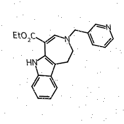 CCOC(=O)C1=CN(Cc2cccnc2)CCc2c1[nH]c1ccccc21